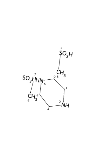 C1CNCCN1.CS(=O)(=O)O.CS(=O)(=O)O